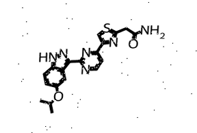 CC(C)Oc1ccc2[nH]nc(-c3nccc(-c4csc(CC(N)=O)n4)n3)c2c1